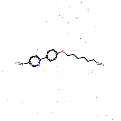 CCCCCCCCc1ccc(-c2ccc(OCCCCCCOC)cc2)nc1